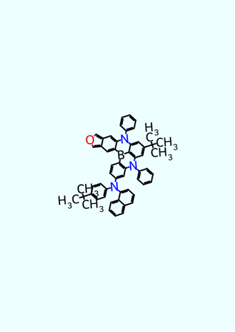 CC(C)(C)c1ccc(N(c2ccc3c(c2)N(c2ccccc2)c2cc(C(C)(C)C)cc4c2B3c2cc3cocc3cc2N4c2ccccc2)c2cccc3ccccc23)cc1